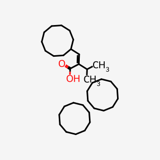 C1CCCCCCCCC1.C1CCCCCCCCC1.CC(C)C(=CC1CCCCCCCCC1)C(=O)O